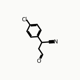 N#CC(CC=O)c1ccc(Cl)cc1